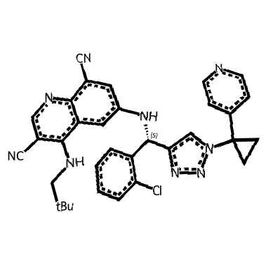 CC(C)(C)CNc1c(C#N)cnc2c(C#N)cc(N[C@H](c3cn(C4(c5ccncc5)CC4)nn3)c3ccccc3Cl)cc12